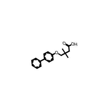 CC(C)(COc1ccc(-c2ccccc2)cc1)CC(=O)O